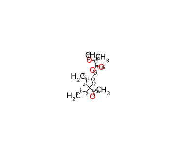 C=CCC(CC=C)(CCCOC(=O)[C@@H](C)OC)C(C)=O